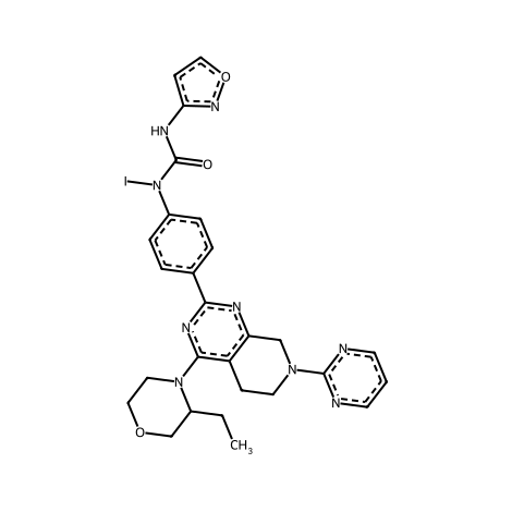 CCC1COCCN1c1nc(-c2ccc(N(I)C(=O)Nc3ccon3)cc2)nc2c1CCN(c1ncccn1)C2